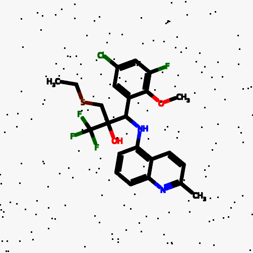 CCSCC(O)(C(Nc1cccc2nc(C)ccc12)c1cc(Cl)cc(F)c1OC)C(F)(F)F